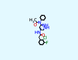 CC(=O)N(C(=N)/C=C(\C=N)NC(=O)Cc1cccc(F)c1Cl)c1ccccc1